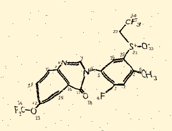 Cc1cc(F)c(-n2cnc3ccc(OC(F)(F)F)cc3c2=O)cc1[S+]([O-])CC(F)(F)F